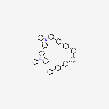 c1ccc(-c2ccc(-c3ccc(-c4cccc(-c5cccc(-c6ccc(-c7ccc(-c8cccc(-n9c%10ccccc%10c%10cc(-c%11ccc%12c(c%11)c%11ccccc%11n%12-c%11ccccc%11)ccc%109)c8)cc7)cc6)c5)c4)cc3)cc2)cc1